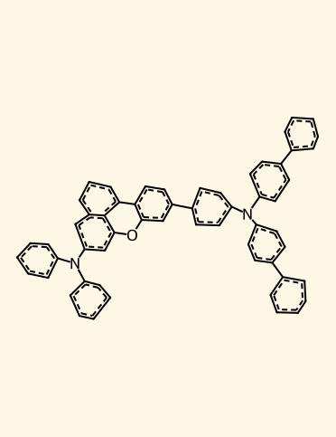 c1ccc(-c2ccc(N(c3ccc(-c4ccccc4)cc3)c3ccc(-c4ccc5c(c4)Oc4cc(N(c6ccccc6)c6ccccc6)cc6cccc-5c46)cc3)cc2)cc1